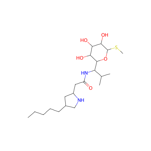 CCCCCC1CNC(CC(=O)NC(C(C)C)C2OC(SC)C(O)C(O)C2O)C1